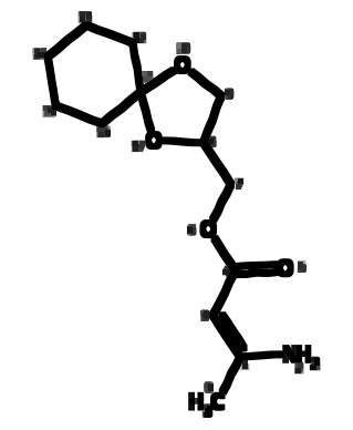 CC(N)=CC(=O)OCC1COC2(CCCCC2)O1